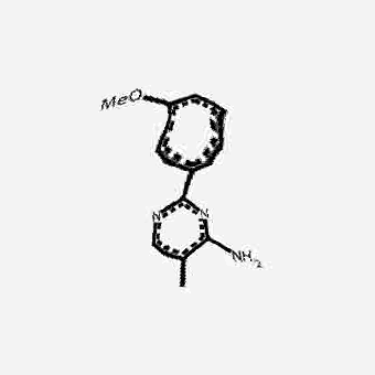 COc1cccc(-c2ncc(C)c(N)n2)c1